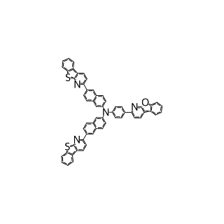 c1ccc2c(c1)oc1nc(-c3ccc(N(c4ccc5cc(-c6ccc7c(n6)sc6ccccc67)ccc5c4)c4ccc5cc(-c6ccc7c(n6)sc6ccccc67)ccc5c4)cc3)ccc12